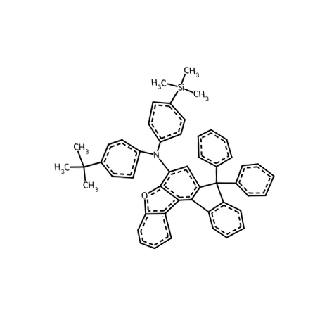 CC(C)(C)c1ccc(N(c2ccc([Si](C)(C)C)cc2)c2cc3c(c4c2oc2ccccc24)-c2ccccc2C3(c2ccccc2)c2ccccc2)cc1